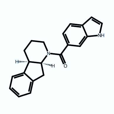 O=C(c1ccc2cc[nH]c2c1)N1CCC[C@@H]2c3ccccc3C[C@@H]21